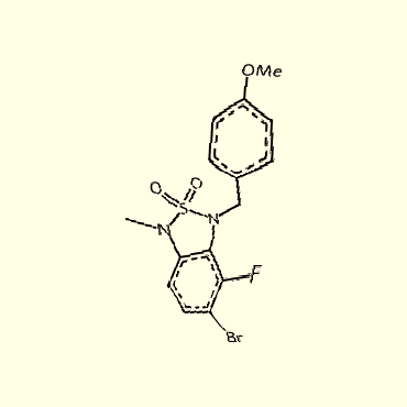 COc1ccc(CN2c3c(ccc(Br)c3F)N(C)S2(=O)=O)cc1